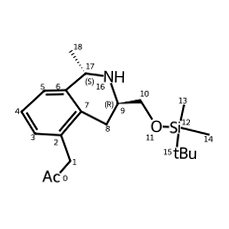 CC(=O)Cc1cccc2c1C[C@H](CO[Si](C)(C)C(C)(C)C)N[C@H]2C